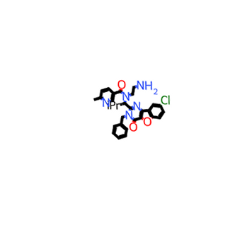 Cc1ccc(C(=O)N(CCN)C(c2nc3c(oc4ccc(Cl)cc43)c(=O)n2Cc2ccccc2)C(C)C)cn1